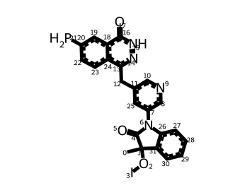 CC1(OI)C(=O)N(c2cncc(Cc3n[nH]c(=O)c4cc(P)ccc34)c2)c2ccccc21